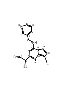 CCCC(C)C(CC)c1cc(NCc2cccnc2)n2ncc(Br)c2n1